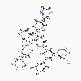 CC1C=C(c2cc(C3=C[C@@H](C)CC=C3)cc(-c3ccc4c(-c5ccc(-c6ccccn6)cc5)c5ccccc5c(-c5ccc(-c6ccccn6)cc5)c4c3)c2)C=CC1